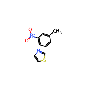 Cc1cccc([N+](=O)[O-])c1.c1cscn1